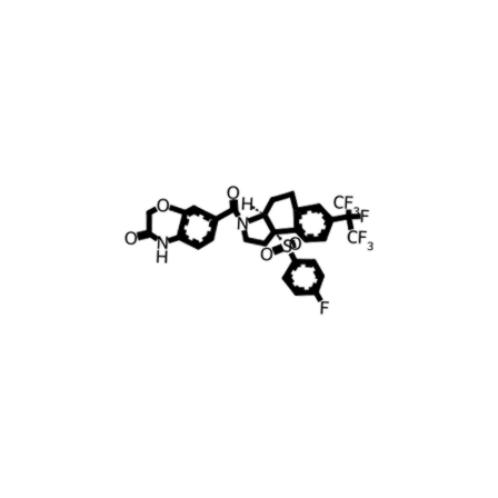 O=C1COc2cc(C(=O)N3CC[C@]4(S(=O)(=O)c5ccc(F)cc5)c5ccc(C(F)(C(F)(F)F)C(F)(F)F)cc5CC[C@H]34)ccc2N1